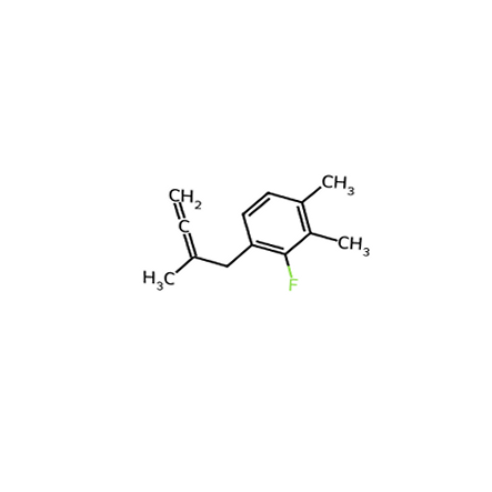 C=C=C(C)Cc1ccc(C)c(C)c1F